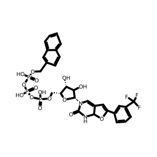 O=C1NC2OC(c3cccc(C(F)(F)F)c3)=CC2=CN1[C@@H]1O[C@H](COP(=O)(O)OP(=O)(O)OP(=O)(O)OCc2ccc3ccccc3c2)[C@H](O)C1O